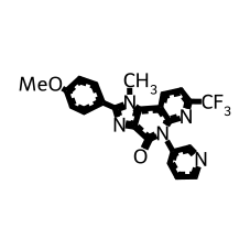 COc1ccc(-c2nc3c(=O)n(-c4cccnc4)c4nc(C(F)(F)F)ccc4c3n2C)cc1